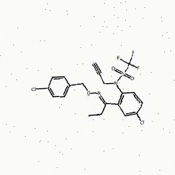 C#CCN(c1ccc(Cl)cc1/C(CC)=N/OCc1ccc(Cl)cc1)S(=O)(=O)C(F)(F)F